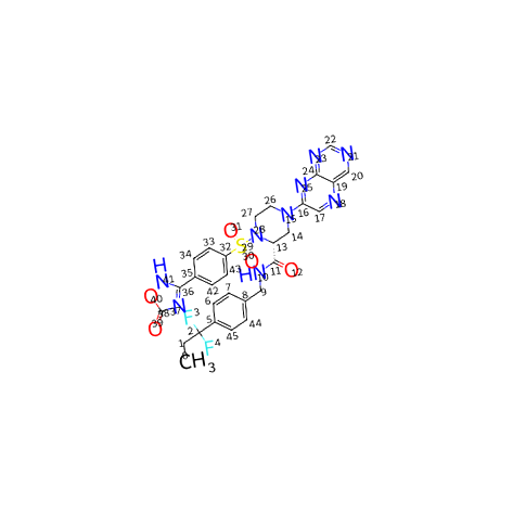 CCC(F)(F)c1ccc(CNC(=O)[C@H]2CN(c3cnc4cncnc4n3)CCN2S(=O)(=O)c2ccc(-c3nc(=O)o[nH]3)cc2)cc1